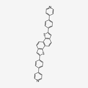 c1cc(-c2ccc(-c3cc4ccc5c(ccc6cc(-c7ccc(-c8ccncc8)cc7)sc65)c4s3)cc2)ccn1